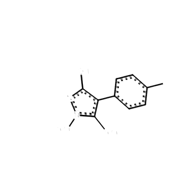 CCCCc1c(-c2ccc(C)cc2)c(O)nn1CCCC